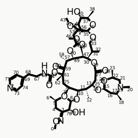 CON=C1C[C@@H](C)O[C@@H](O[C@@H]2[C@@H](C)[C@H](O[C@H]3C[C@H](C)N(C)C[C@H](C)O3)[C@@H](C)C(=O)O[C@H](C(C)CO[C@@H]3O[C@H](C)[C@@H](O)[C@@H](OC)[C@H]3OC)[C@H](C)[C@@H](OC(=O)CC(C)C)[C@@H](C)C(=O)[C@@](C)(OC(=O)NCCc3ccncc3)C[C@@H]2C)[C@@H]1O